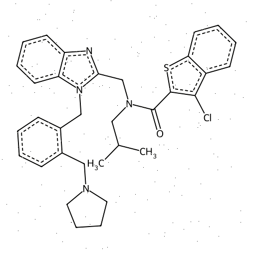 CC(C)CN(Cc1nc2ccccc2n1Cc1ccccc1CN1CCCC1)C(=O)c1sc2ccccc2c1Cl